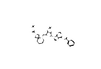 CC(C)(C)OC(=O)N1CC2(CCCCN2CC2OC(n3cnc4c(NC(=O)c5ccccc5)ncnc43)[C@@H]3OC(C)(C)O[C@H]23)C1